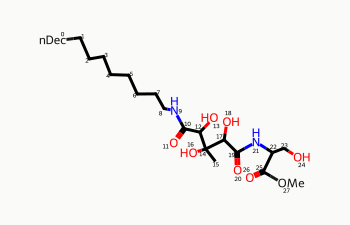 CCCCCCCCCCCCCCCCCCNC(=O)C(O)C(C)(O)C(O)C(=O)NC(CO)C(=O)OC